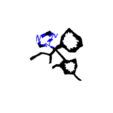 CCC(C)C(c1ccccc1)(c1ccc(C)cc1C)n1cncn1